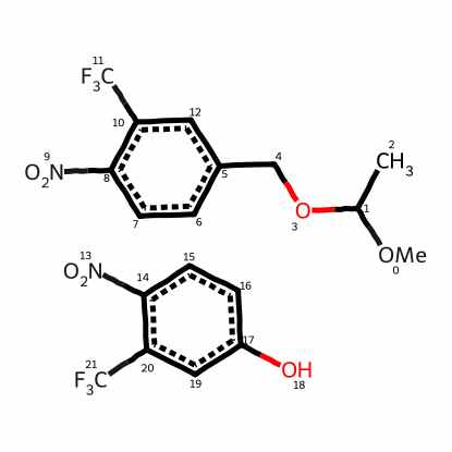 COC(C)OCc1ccc([N+](=O)[O-])c(C(F)(F)F)c1.O=[N+]([O-])c1ccc(O)cc1C(F)(F)F